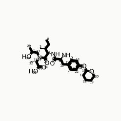 CC[C@H](C)[C@H](NC(=O)[C@@H](N)Cc1ccc(OC2CCCCO2)cc1)C(=O)N(CC(C)O)[C@@H](C)C(=O)O